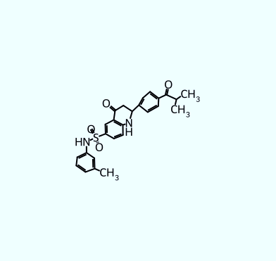 Cc1cccc(NS(=O)(=O)c2ccc3c(c2)C(=O)CC(c2ccc(C(=O)C(C)C)cc2)N3)c1